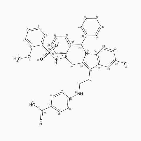 COc1ccccc1S(=O)(=O)NCCc1c(CCNc2ccc(C(=O)O)cc2)c2cc(Cl)ccc2n1C(c1ccccc1)c1ccccc1